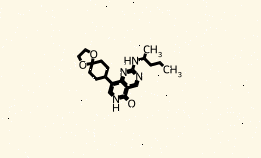 CCCC(C)Nc1ncc2c(=O)[nH]cc(C3CCC4(CC3)OCCO4)c2n1